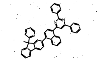 CC1(c2ccccc2)c2ccccc2-c2ccc(-c3ccc(-c4cc(-c5ccccc5)nc(-c5ccccc5)n4)c4ccccc34)cc21